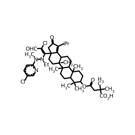 CCN(/C(=C(/Cl)C=O)C12CC[C@]3(C)C(CCC4C5(C)CCC(OC(=O)CC(C)(C)C(=O)O)C(C)(C)C5CCC43C)C1=C(C(C)C)C(=O)C2)N(C)c1ccc(Cl)cn1